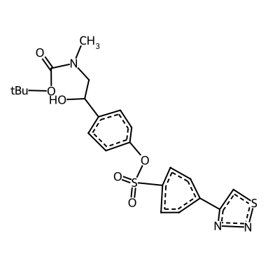 CN(CC(O)c1ccc(OS(=O)(=O)c2ccc(-c3csnn3)cc2)cc1)C(=O)OC(C)(C)C